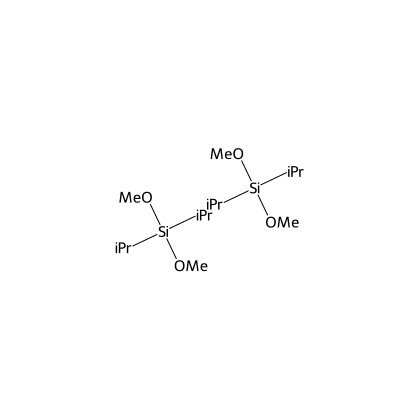 CO[Si](OC)(C(C)C)C(C)C.CO[Si](OC)(C(C)C)C(C)C